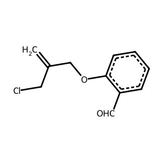 C=C(CCl)COc1ccccc1C=O